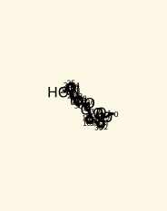 CCOC(=O)C1(C(=O)N2CCCC2COC(=O)N2CCN(Cc3ncccc3O)CC2)CCCC1